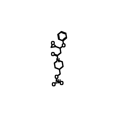 O=C(CC(Oc1ccccc1)C1CO1)N1CCC(CO[N+](=O)[O-])CC1